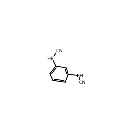 N#CBc1[c]ccc(BC#N)c1